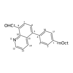 CCCCCCCCc1ccc(-c2ccc(C=O)c3ncccc23)cc1